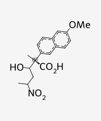 COc1ccc2cc([C@](C)(C(=O)O)C(O)CC(C)[N+](=O)[O-])ccc2c1